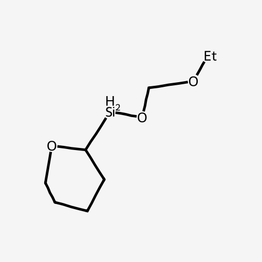 CCOCO[SiH2]C1CCCCO1